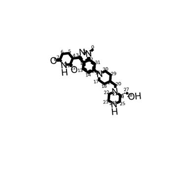 Cn1nc(C2CCC(=O)NC2=O)c2ccc(N3CCC(CN4CCNC[C@H]4CO)CC3)cc21